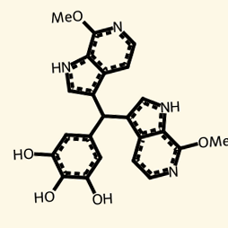 COc1nccc2c(C(c3cc(O)c(O)c(O)c3)c3c[nH]c4c(OC)nccc34)c[nH]c12